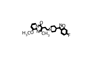 COc1cccn2c(=O)c(CCN3CCC(c4noc5cc(F)ccc45)CC3)c(C)nc12